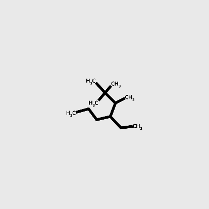 CCCC(CC)C(C)C(C)(C)C